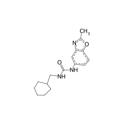 Cc1nc2cc(NC(=O)NCC3CCCCC3)ccc2o1